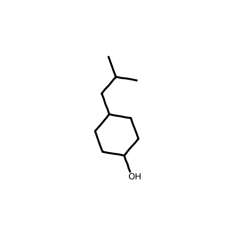 C[C](C)CC1CCC(O)CC1